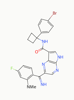 CNc1cc(F)ccc1C(=N)c1cnc2[nH]cc(C(=O)NC3(c4ccc(Br)cc4)CCC3)c2n1